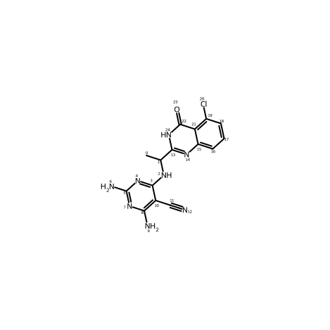 CC(Nc1nc(N)nc(N)c1C#N)c1nc2cccc(Cl)c2c(=O)[nH]1